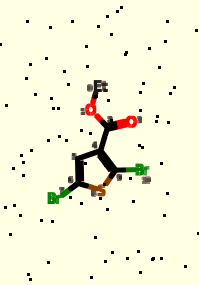 CCOC(=O)c1cc(Br)sc1Br